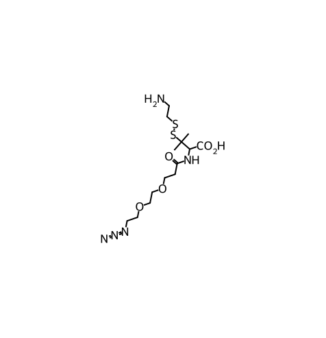 CC(C)(SSCCN)C(NC(=O)CCOCCOCCN=[N+]=[N-])C(=O)O